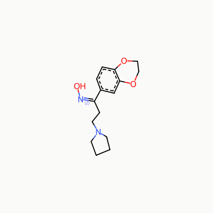 O/N=C(/CCN1CCCC1)c1ccc2c(c1)OCCO2